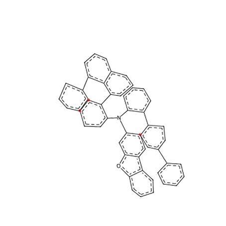 c1ccc(-c2ccc(-c3ccccc3N(c3ccc4c(c3)oc3ccccc34)c3ccccc3-c3cccc4cccc(-c5ccccc5)c34)cc2)cc1